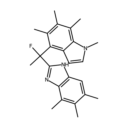 Cc1cc2[nH]c(C(C)(F)c3c(C)c(C)c(C)c4c3ccn4C)nc2c(C)c1C